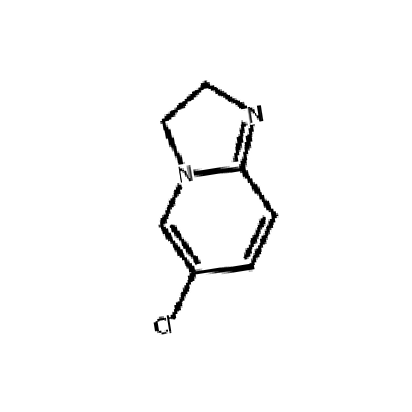 ClC1=CN2CCN=C2C=C1